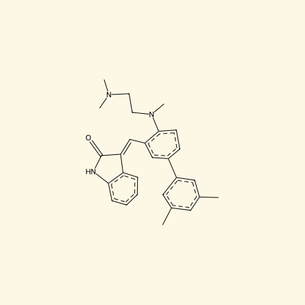 Cc1cc(C)cc(-c2ccc(N(C)CCN(C)C)c(C=C3C(=O)Nc4ccccc43)c2)c1